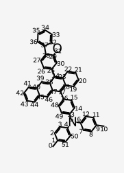 Cc1ccc(N(c2ccc(C)cc2)c2ccc(-c3c4ccccc4c(-c4ccc5c(c4)oc4ccccc45)c4cc5ccccc5cc34)cc2)cc1